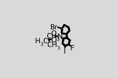 CC(C)(C)OC(=O)n1c2cc(I)c(F)cc2c2cccc(Br)c21